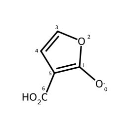 [O]c1occc1C(=O)O